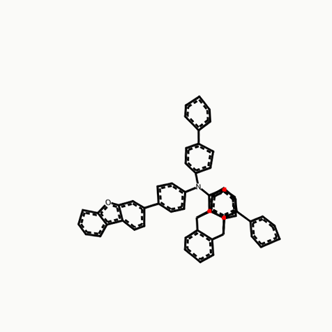 c1ccc(-c2ccc(N(c3ccc(-c4ccc5c(c4)oc4ccccc45)cc3)c3ccc(-c4ccccc4)c4c3C3c5ccccc5C4c4ccccc43)cc2)cc1